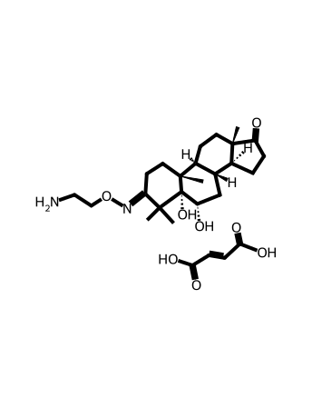 CC1(C)/C(=N/OCCN)CC[C@]2(C)[C@H]3CC[C@]4(C)C(=O)CC[C@H]4[C@@H]3C[C@H](O)[C@@]12O.O=C(O)/C=C/C(=O)O